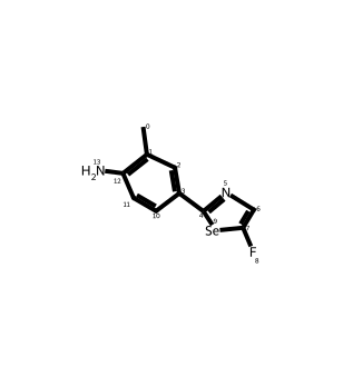 Cc1cc(-c2ncc(F)[se]2)ccc1N